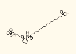 O=C(O)CCCCCCCCCCCCCCCCC(=O)Nc1ccccc1OCCCCS(=O)(=O)S